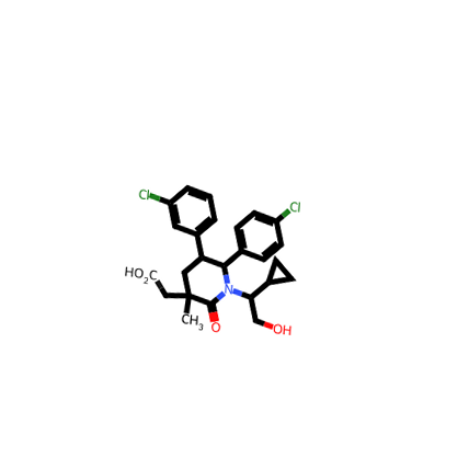 CC1(CC(=O)O)CC(c2cccc(Cl)c2)C(c2ccc(Cl)cc2)N(C(CO)C2CC2)C1=O